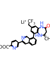 C[C@@H]1CC(=O)Nc2cc(CC(F)(F)F)cc(-c3cccc4cc(-c5ccc(C(=O)[O-])nc5)ncc34)c2N1.[Li+]